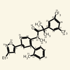 CCc1cc(-c2cc(-c3ccccc3C)c(N(C)C(=O)C(C)(C)c3cc(C(F)(F)F)cc(C(F)(F)F)c3)cn2)on1